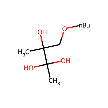 CCCCOCC(C)(O)C(C)(O)O